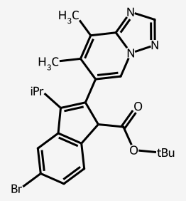 Cc1c(C2=C(C(C)C)c3cc(Br)ccc3C2C(=O)OC(C)(C)C)cn2ncnc2c1C